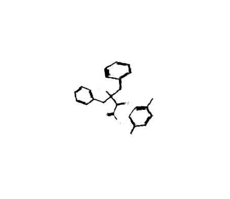 Cc1ccc(C)cc1.NC(C(=O)O)C(S)(Cc1ccccc1)Cc1ccccc1